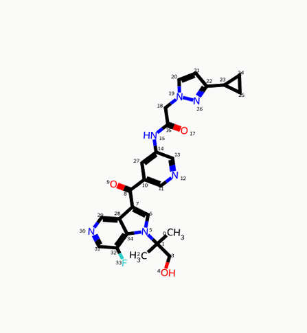 CC(C)(CO)n1cc(C(=O)c2cncc(NC(=O)Cn3ccc(C4CC4)n3)c2)c2cncc(F)c21